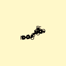 COc1ccc(S(=O)(=O)N(C)CCOCC(=O)N2CCC(C3CCN(C)CC3)CC2)c(C(F)(F)F)c1